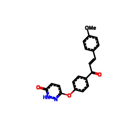 COc1ccc(C=CC(=O)c2ccc(Oc3ccc(=O)[nH]n3)cc2)cc1